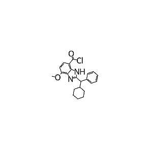 COc1ccc(C(=O)Cl)c2[nH]c(C(c3ccccc3)C3CCCCC3)nc12